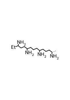 CCC(N)CCC(N)CCCC(N)CCC[C@H](C)N